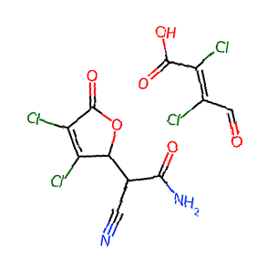 N#CC(C(N)=O)C1OC(=O)C(Cl)=C1Cl.O=CC(Cl)=C(Cl)C(=O)O